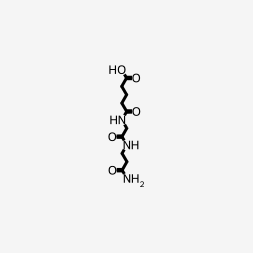 NC(=O)CCNC(=O)CNC(=O)CCCC(=O)O